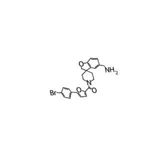 NCc1ccc2c(c1)C1(CCN(C(=O)c3ccc(-c4ccc(Br)cc4)o3)CC1)CO2